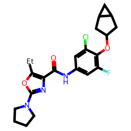 CCc1oc(N2CCCC2)nc1C(=O)Nc1cc(F)c(OC2CC3CC3C2)c(Cl)c1